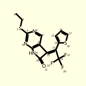 CCSc1ncc2c(n1)NC(=O)C2=C(c1cccs1)C(F)(F)F